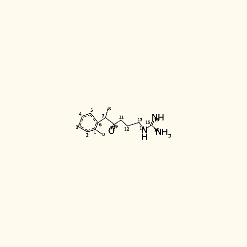 Cc1ccccc1C(C)C(=O)CCCNC(=N)N